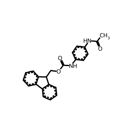 CC(=O)Nc1ccc(NC(=O)OCC2c3ccccc3-c3ccccc32)cc1